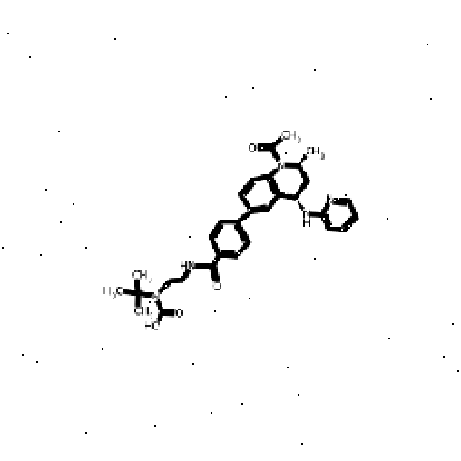 CC(=O)N1c2ccc(-c3ccc(C(=O)NCCN(C(=O)O)C(C)(C)C)cc3)cc2[C@H](Nc2ccccn2)C[C@@H]1C